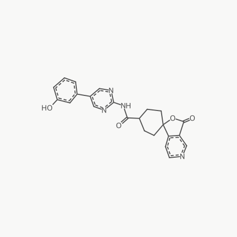 O=C1OC2(CCC(C(=O)Nc3ncc(-c4cccc(O)c4)cn3)CC2)c2ccncc21